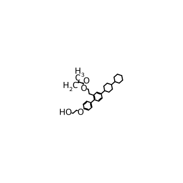 C=C(C)C(=O)OCCc1cc(C2CCC(C3CCCCC3)CC2)ccc1-c1ccc(OCCO)cc1